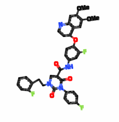 COc1cc2nccc(Oc3ccc(NC(=O)c4cn(CCc5ccccc5F)c(=O)n(-c5ccc(F)cc5)c4=O)cc3F)c2cc1OC